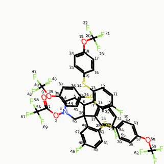 O=C(ON1CCC(c2cc(F)ccc2Sc2ccc(OC(F)(F)F)cc2)C(c2cc(F)ccc2Sc2ccc(OC(F)(F)F)cc2)(c2cc(F)ccc2Sc2ccc(OC(F)(F)F)cc2)C1)C(F)(F)F